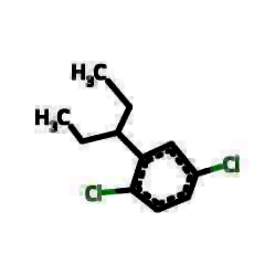 CCC(CC)c1cc(Cl)ccc1Cl